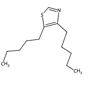 CCCCCc1ncsc1CCCCC